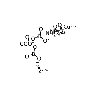 O=C([O-])[O-].[Cu+2].[NH4+].[NH4+].[O-]B([O-])[O-].[O-]B([O-])[O-].[O]=[Zr+2].[O]=[Zr+2].[O]=[Zr]